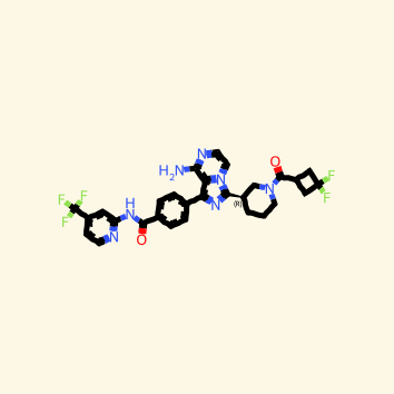 Nc1nccn2c([C@@H]3CCCN(C(=O)C4CC(F)(F)C4)C3)nc(-c3ccc(C(=O)Nc4cc(C(F)(F)F)ccn4)cc3)c12